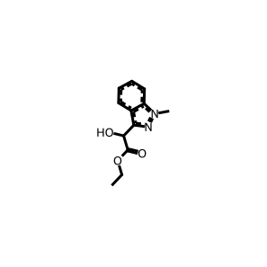 CCOC(=O)C(O)c1nn(C)c2ccccc12